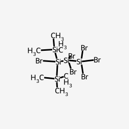 C[Si](C)(C)[Si](Br)([Si](C)(C)C)[Si](Br)(Br)[Si](Br)(Br)Br